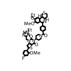 CCOc1cc2c(cc1OC)C(c1ccc(C(=O)N3CCC(n4c(=O)c5sc(-c6ccc(F)cc6OC)cc5n(Cc5nnn(CC)n5)c4=O)CC3)cc1)=N[C@@H]1CCSC[C@H]21